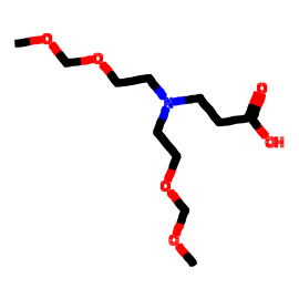 COCOCCN(CCOCOC)CCC(=O)O